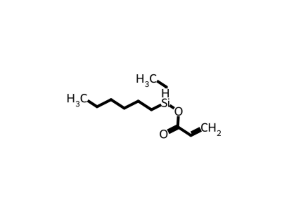 C=CC(=O)O[SiH](CC)CCCCCC